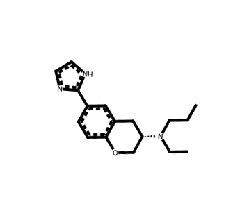 CCCN(CC)[C@@H]1COc2ccc(-c3ncc[nH]3)cc2C1